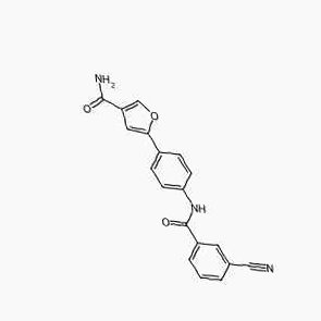 N#Cc1cccc(C(=O)Nc2ccc(-c3cc(C(N)=O)co3)cc2)c1